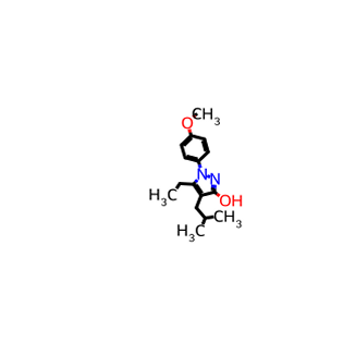 CCc1c(CC(C)C)c(O)nn1-c1ccc(OC)cc1